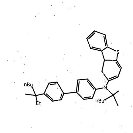 CCCCC(C)(CC)c1ccc(-c2ccc(N(C3=CC=C4Sc5ccccc5C4C3)C(C)(C)CCCC)cc2)cc1